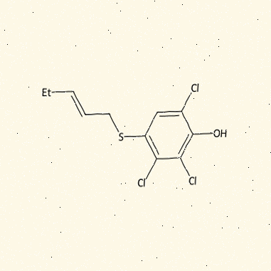 CCC=CCSc1cc(Cl)c(O)c(Cl)c1Cl